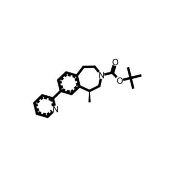 C[C@@H]1CN(C(=O)OC(C)(C)C)CCc2ccc(-c3ccccn3)cc21